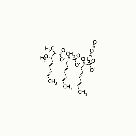 C=C(CC=CC=CC)C(=O)[O-].C=C(CC=CC=CC)C(=O)[O-].C=C(CC=CC=CC)C(=O)[O-].[C]=O.[C]=O.[C]=O.[Fe+3]